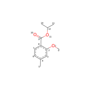 COc1cc(C)ccc1C(=O)OC(C)C